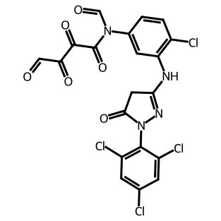 O=CC(=O)C(=O)C(=O)N(C=O)c1ccc(Cl)c(NC2=NN(c3c(Cl)cc(Cl)cc3Cl)C(=O)C2)c1